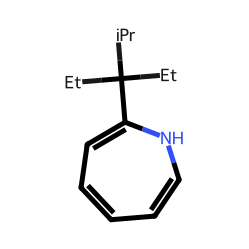 CCC(CC)(C1=CC=CC=CN1)C(C)C